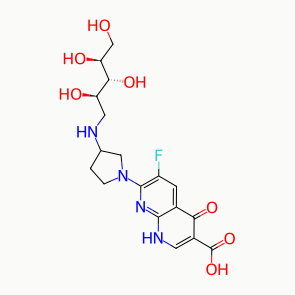 O=C(O)c1c[nH]c2nc(N3CCC(NC[C@@H](O)[C@@H](O)[C@@H](O)CO)C3)c(F)cc2c1=O